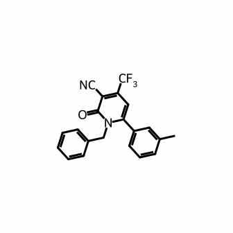 Cc1cccc(-c2cc(C(F)(F)F)c(C#N)c(=O)n2Cc2ccccc2)c1